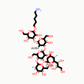 CC(=O)NC1[C@H](O[C@@H]2C(O)[C@H](OCCCCCN)OC(CO)[C@@H]2O)OC(CO)[C@@H](O)[C@@H]1O[C@@H]1OC(CO)[C@H](OC2OC(CO)[C@H](O)[C@H](O)[C@@H]2C)[C@H](O[C@@]2(C(=O)O)CC(O)[C@H](C)C([C@H](O)[C@H](O)CO)O2)C1O